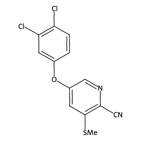 CSc1cc(Oc2ccc(Cl)c(Cl)c2)cnc1C#N